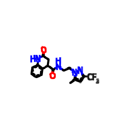 Cc1cc(C(F)(F)F)nn1CCNC(=O)C1CC(=O)Nc2ccccc21